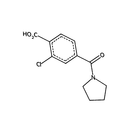 O=C(O)c1ccc(C(=O)N2CCCC2)cc1Cl